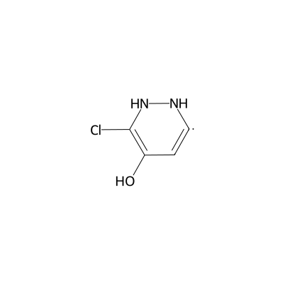 OC1=C(Cl)NN[C]=C1